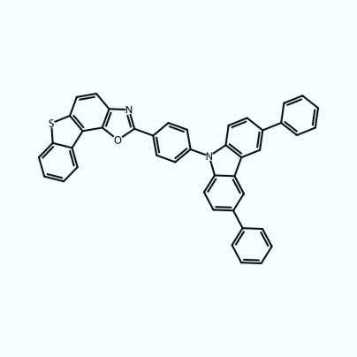 c1ccc(-c2ccc3c(c2)c2cc(-c4ccccc4)ccc2n3-c2ccc(-c3nc4ccc5sc6ccccc6c5c4o3)cc2)cc1